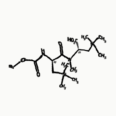 CN(C(=O)[C@@H](C[Si](C)(C)C)NC(=O)OC(C)(C)C)[C@@H](C[Si](C)(C)C)C(=O)O